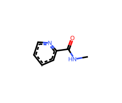 CNC(=O)c1c[c]ccn1